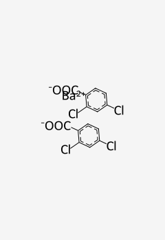 O=C([O-])c1ccc(Cl)cc1Cl.O=C([O-])c1ccc(Cl)cc1Cl.[Ba+2]